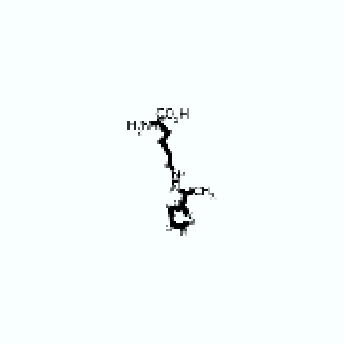 CC(N=NCCCC[C@H](N)C(=O)O)c1cccs1